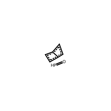 O=P.c1cc2ccc1-2